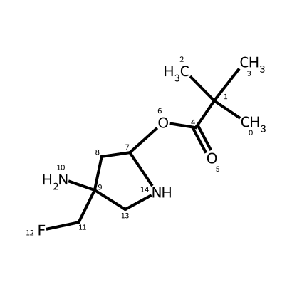 CC(C)(C)C(=O)OC1CC(N)(CF)CN1